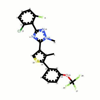 Cc1c(-c2nc(-c3c(F)cccc3Cl)nn2C)csc1-c1cccc(OC(F)(F)F)c1